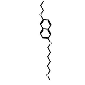 CCCOc1ccc2cc(OCCCCCCOC)ccc2c1